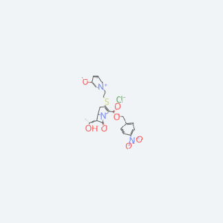 COc1ccc[n+](CCSC2=C(C(=O)OCc3ccc([N+](=O)[O-])cc3)N3C(=O)C([C@@H](C)O)C3C2)c1.[Cl-]